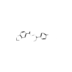 COc1ccc(C(CO)=NNC(=O)c2ccc3c(c2)OCO3)cc1